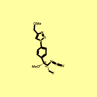 COCc1cn(-c2ccc([C@@H](OC)[C@@H](CF)N=[N+]=[N-])cc2)nn1